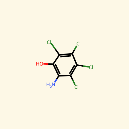 Nc1c(O)c(Cl)c(Cl)c(Cl)c1Cl